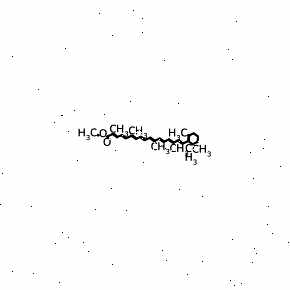 CCOC(=O)/C(C)=C/C=C/C(C)=C/C=C/C=C(C)/C=C/C=C(C)/C=C/C1=C(C)CCCC1(C)C